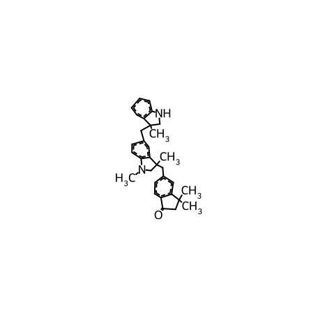 CN1CC(C)(Cc2ccc3c(c2)C(C)(C)CC3=O)c2cc(CC3(C)CNc4ccccc43)ccc21